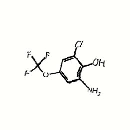 Nc1cc(OC(F)(F)F)cc(Cl)c1O